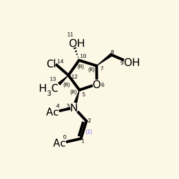 CC(=O)/C=C\N(C(C)=O)[C@@H]1O[C@H](CO)[C@@H](O)[C@@]1(C)Cl